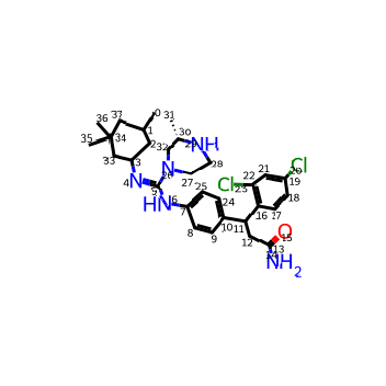 CC1CC(/N=C(/Nc2ccc(C(CC(N)=O)c3ccc(Cl)cc3Cl)cc2)N2CCN[C@@H](C)C2)CC(C)(C)C1